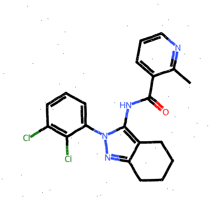 Cc1ncccc1C(=O)Nc1c2c(nn1-c1cccc(Cl)c1Cl)CCCC2